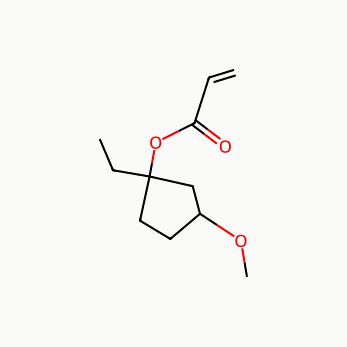 C=CC(=O)OC1(CC)CCC(OC)C1